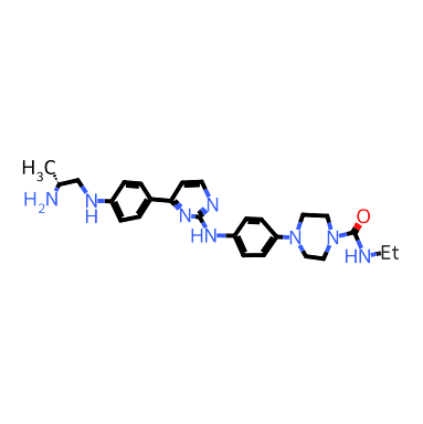 CCNC(=O)N1CCN(c2ccc(Nc3nccc(-c4ccc(NC[C@@H](C)N)cc4)n3)cc2)CC1